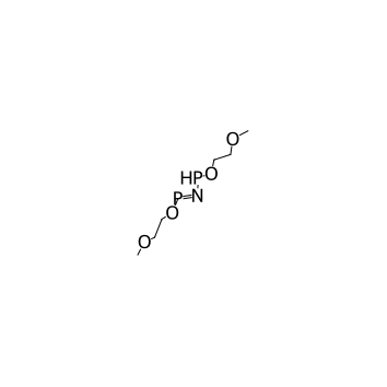 COCCOP=NPOCCOC